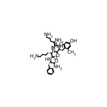 Cc1cc(O)cc(C)c1C[C@H](NC(=O)[C@H](N)CCCN)C(=O)N[C@@H](CCCCN)C(=O)N[C@@H](Cc1ccccc1)C(N)=O